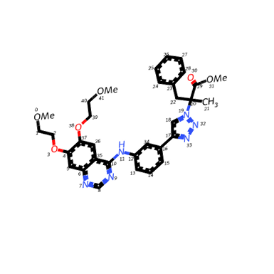 COCCOc1cc2ncnc(Nc3cccc(-c4cn(C(C)(Cc5ccccc5)C(=O)OC)nn4)c3)c2cc1OCCOC